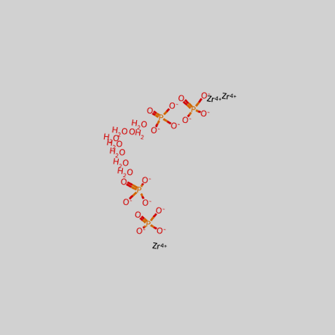 O.O.O.O.O.O.O.O.O=P([O-])([O-])[O-].O=P([O-])([O-])[O-].O=P([O-])([O-])[O-].O=P([O-])([O-])[O-].[Zr+4].[Zr+4].[Zr+4]